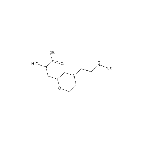 CCNCCN1CCOC(CN(C)C(=O)C(C)(C)C)C1